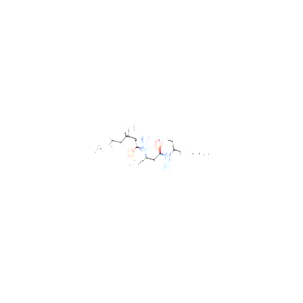 CCCCCC(CC(C)=O)NC(=O)CC(CCC)NC(=O)CC(C)CCC(C)=O